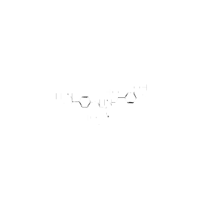 CC(=O)O.CC(CCc1ccc(C(N)=O)cc1)NCC(O)c1ccc(O)c(O)c1